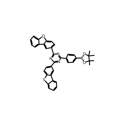 CC1(C)OB(c2ccc(-c3nc(-c4ccc5oc6ccccc6c5c4)nc(-c4ccc5sc6ccccc6c5c4)n3)cc2)OC1(C)C